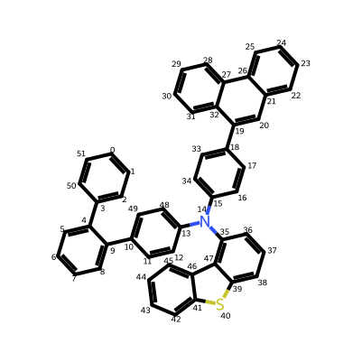 c1ccc(-c2ccccc2-c2ccc(N(c3ccc(-c4cc5ccccc5c5ccccc45)cc3)c3cccc4sc5ccccc5c34)cc2)cc1